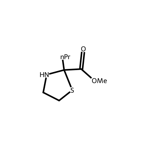 CCCC1(C(=O)OC)NCCS1